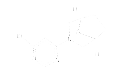 CCc1cc(N2C[C@H]3CC[C@@H](C2)O3)ncn1